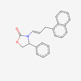 O=C1OCC(c2ccccc2)N1C=CCc1cccc2ccccc12